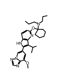 CCCN(CCC)C1(Oc2ccc3[nH]c(-c4cc(OC)c5ncnn5c4)c(C(C)C)c3n2)CCCCC1